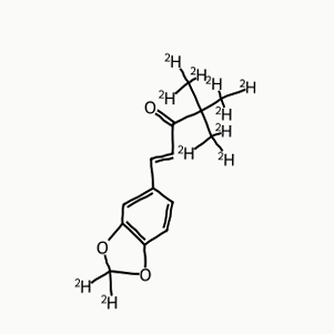 [2H]C1([2H])Oc2ccc(/C=C/C(=O)C(C([2H])([2H])[2H])(C([2H])([2H])[2H])C([2H])([2H])[2H])cc2O1